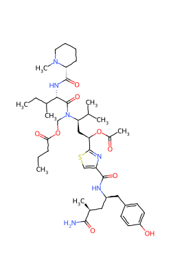 CCCC(=O)OCN(C(=O)[C@@H](NC(=O)[C@H]1CCCCN1C)C(C)CC)[C@H](C[C@@H](OC(C)=O)c1nc(C(=O)N[C@@H](Cc2ccc(O)cc2)C[C@H](C)C(N)=O)cs1)C(C)C